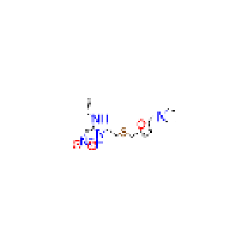 C#CCN/C(=C/[N+](=O)[O-])NCCSCc1ccc(CN2CCCC2)o1